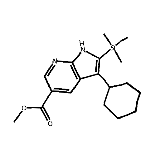 COC(=O)c1cnc2[nH]c([Si](C)(C)C)c(C3CCCCC3)c2c1